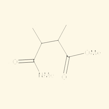 CNC(=O)C(C)C(C)C(=O)OC